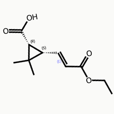 CCOC(=O)/C=C/[C@H]1[C@@H](C(=O)O)C1(C)C